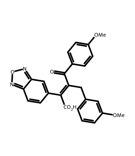 COc1ccc(C(=O)C(Cc2cccc(OC)c2)=C(C(=O)O)c2ccc3nonc3c2)cc1